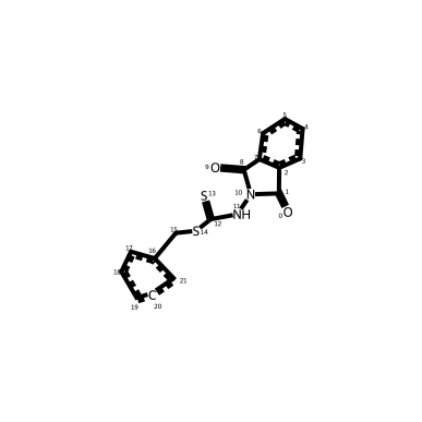 O=C1c2ccccc2C(=O)N1NC(=S)SCc1ccccc1